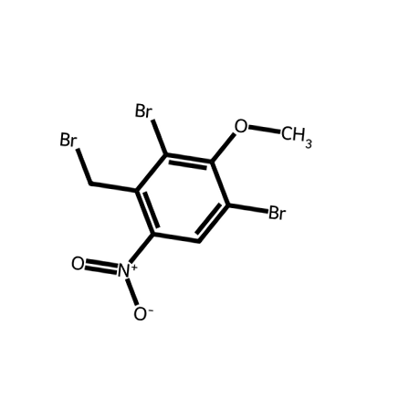 COc1c(Br)cc([N+](=O)[O-])c(CBr)c1Br